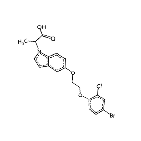 CC(C(=O)O)n1ccc2cc(OCCOc3ccc(Br)cc3Cl)ccc21